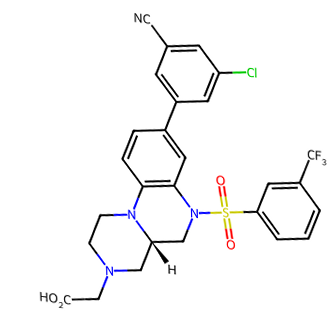 N#Cc1cc(Cl)cc(-c2ccc3c(c2)N(S(=O)(=O)c2cccc(C(F)(F)F)c2)C[C@@H]2CN(CC(=O)O)CCN32)c1